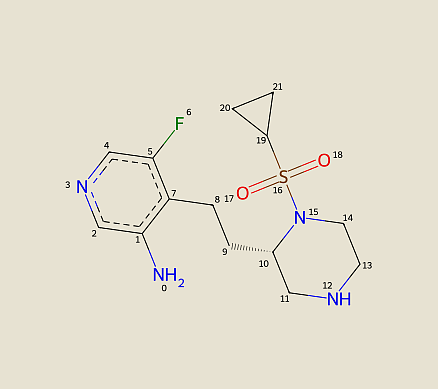 Nc1cncc(F)c1CC[C@H]1CNCCN1S(=O)(=O)C1CC1